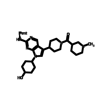 CCC[C@H](C)Nc1ncc2c(C3CCN(C(=O)C4CCCN(C)C4)CC3)cn(C3CCC(O)CC3)c2n1